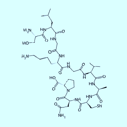 CC(C)C[C@H](NC(=O)[C@@H](N)CO)C(=O)NCC(=O)N[C@@H](CCCCN)C(=O)NCC(=O)N[C@H](C(=O)N[C@@H](C)C(=O)N[C@@H](CS)C(=O)N[C@@H](CC(N)=O)C(=O)N1CCC[C@H]1C(=O)O)C(C)C